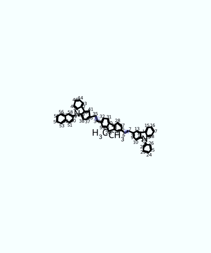 CC1(C)c2cc(/C=C/c3ccc4c(c3)c3ccccc3n4-c3ccccc3)ccc2-c2ccc(/C=C/c3ccc4c(c3)c3ccccc3n4-c3ccc4ccccc4c3)cc21